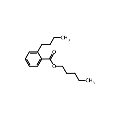 CCCCCOC(=O)c1ccccc1CCCC